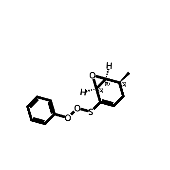 C[C@H]1CC=C(SOOc2ccccc2)[C@H]2O[C@H]21